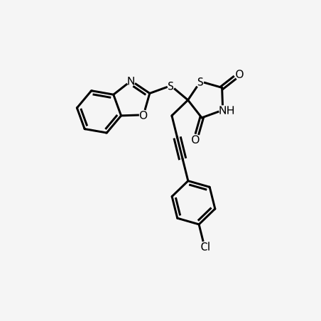 O=C1NC(=O)C(CC#Cc2ccc(Cl)cc2)(Sc2nc3ccccc3o2)S1